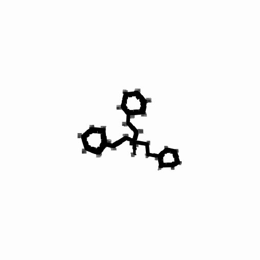 I[Si](CCc1ccccc1)(CCc1ccccc1)CCc1ccccc1